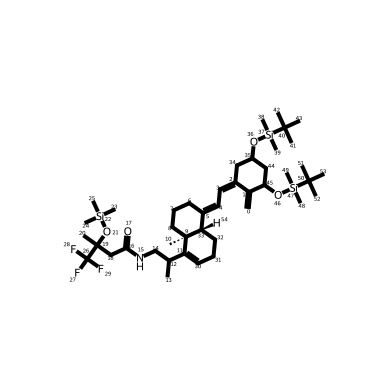 C=C1C(=CC=C2CCC[C@]3(C)C(C(C)CNC(=O)CC(C)(O[Si](C)(C)C)C(F)(F)F)=CCC[C@@H]23)CC(O[Si](C)(C)C(C)(C)C)CC1O[Si](C)(C)C(C)(C)C